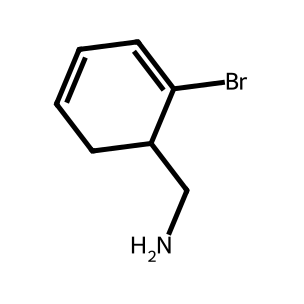 NCC1CC=CC=C1Br